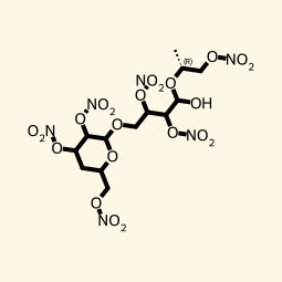 C[C@H](CO[N+](=O)[O-])OC(O)C(O[N+](=O)[O-])C(COC1OC(CO[N+](=O)[O-])CC(O[N+](=O)[O-])C1O[N+](=O)[O-])O[N+](=O)[O-]